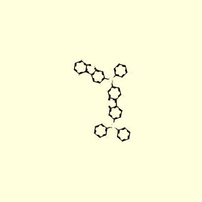 c1ccc(N(c2ccccc2)c2ccc3c(c2)sc2cc(N(c4ccccc4)c4ccc5c(c4)sc4ccccc45)ccc23)cc1